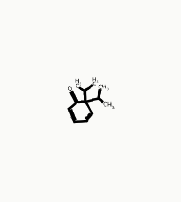 CC(C)C1(C(C)C)C=CC=CC1=O